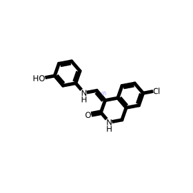 O=C1NCc2cc(Cl)ccc2/C1=C/Nc1cccc(O)c1